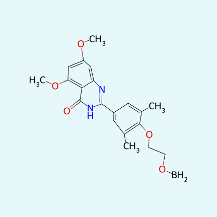 BOCCOc1c(C)cc(-c2nc3cc(OC)cc(OC)c3c(=O)[nH]2)cc1C